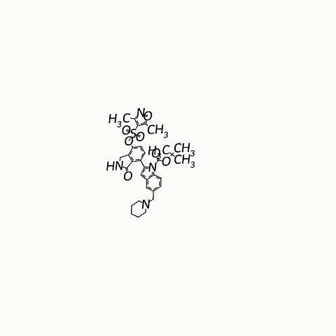 Cc1noc(C)c1S(=O)(=O)Oc1ccc(-c2cc3cc(CN4CCCCC4)ccc3n2C(=O)OC(C)(C)C)c2c1CNC2=O